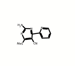 CSc1nc(N)nc(-c2ccccn2)c1C#N